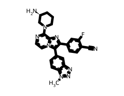 Cn1nnc2cc(-c3c(-c4ccc(C#N)c(F)c4)nc4c(N5CCC[C@@H](N)C5)nccn34)ccc21